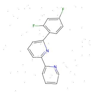 Fc1ccc(-c2cccc(-c3ccccn3)n2)c(F)c1